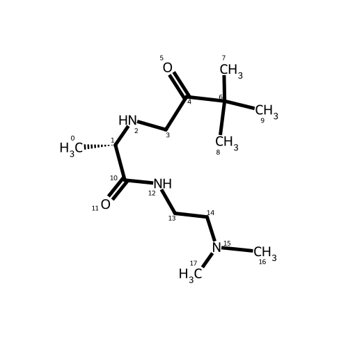 C[C@H](NCC(=O)C(C)(C)C)C(=O)NCCN(C)C